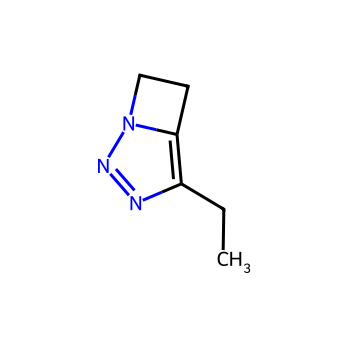 CCc1nnn2c1CC2